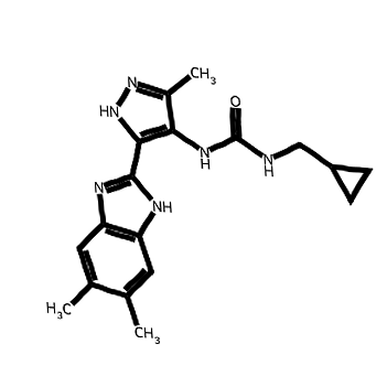 Cc1cc2nc(-c3[nH]nc(C)c3NC(=O)NCC3CC3)[nH]c2cc1C